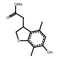 COC(=O)CC1COc2c(C)c(O)cc(C)c21